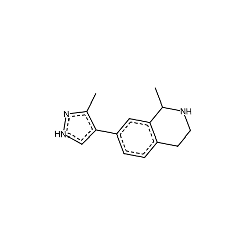 Cc1n[nH]cc1-c1ccc2c(c1)C(C)NCC2